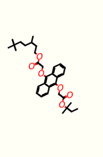 CCC(C)(C)OC(=O)COc1c2ccccc2c(OCC(=O)OCCC(C)CCC(C)(C)C)c2ccccc12